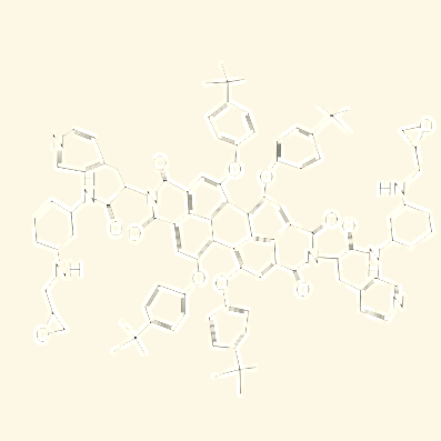 CC(C)(C)c1ccc(Oc2cc3c4c(cc(Oc5ccc(C(C)(C)C)cc5)c5c6c(Oc7ccc(C(C)(C)C)cc7)cc7c8c(cc(Oc9ccc(C(C)(C)C)cc9)c(c2c45)c86)C(=O)N(C(Cc2ccncc2)C(=O)NC2CCCC(NCC4CO4)C2)C7=O)C(=O)N(C(Cc2ccncc2)C(=O)NC2CCCC(NCC4CO4)C2)C3=O)cc1